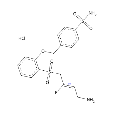 Cl.NC/C=C(\F)CS(=O)(=O)c1ccccc1OCc1ccc(S(N)(=O)=O)cc1